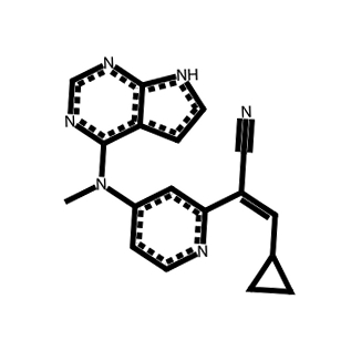 CN(c1ccnc(/C(C#N)=C\C2CC2)c1)c1ncnc2[nH]ccc12